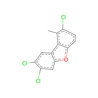 Cc1c(Cl)ccc2oc3cc(Cl)c(Cl)cc3c12